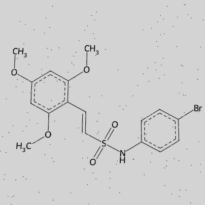 COc1cc(OC)c(C=CS(=O)(=O)Nc2ccc(Br)cc2)c(OC)c1